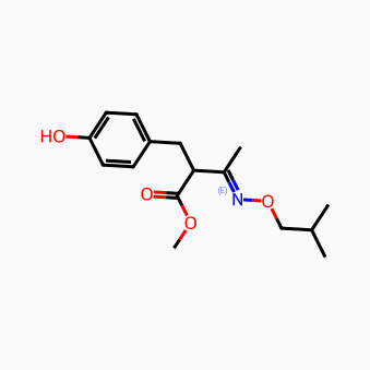 COC(=O)C(Cc1ccc(O)cc1)/C(C)=N/OCC(C)C